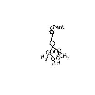 C=C(CO)C(=O)OCC(COC(=O)C(=C)CO)C1CCC(CCc2ccc(CCCCC)cc2)CC1